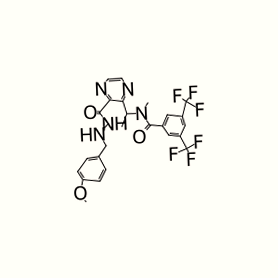 COc1ccc(CNNC(=O)c2nccnc2C(C)N(C)C(=O)c2cc(C(F)(F)F)cc(C(F)(F)F)c2)cc1